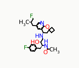 CC(=O)N[C@@H](Cc1ccc(F)cc1)[C@H](O)CN[C@H]1CC2(CCC2)Oc2ncc(C[C@@H](C)CF)cc21